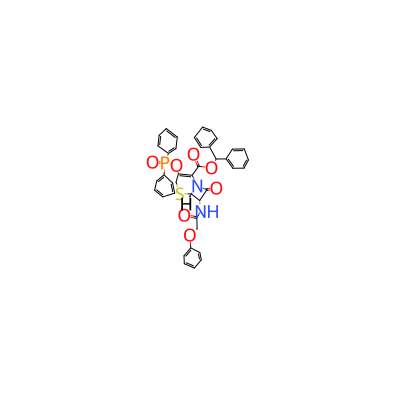 O=C(COc1ccccc1)N[C@H]1C(=O)N2C(C(=O)OC(c3ccccc3)c3ccccc3)=C(OP(=O)(c3ccccc3)c3ccccc3)CS[C@@H]12